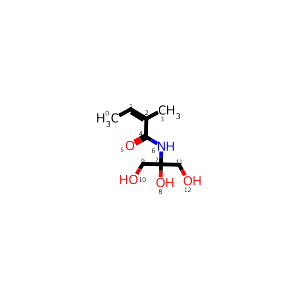 CC=C(C)C(=O)NC(O)(CO)CO